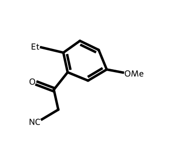 CCc1ccc(OC)cc1C(=O)CC#N